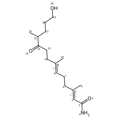 C/C(=C\C(N)=O)CC/C=C(\C)CCC(=O)C(C)CCCO